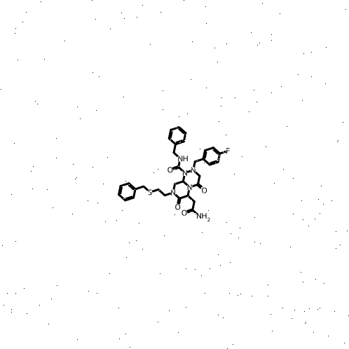 NC(=O)CC1C(=O)N(CCSCc2ccccc2)CC2N1C(=O)CN(Cc1ccc(F)cc1)N2C(=O)NCc1ccccc1